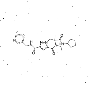 CCN1C(=O)c2cc(C(=O)NCc3cccnc3)nn2CC1(C)C(=O)NC1CCCC1